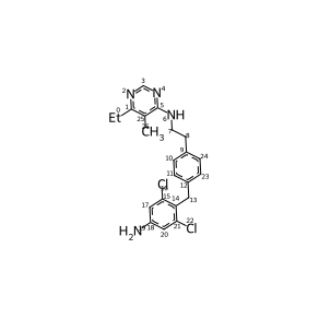 CCc1ncnc(NCCc2ccc(Cc3c(Cl)cc(N)cc3Cl)cc2)c1C